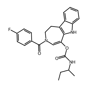 CCC(C)NC(=O)OC1=CN(C(=O)c2ccc(F)cc2)CCc2c1[nH]c1ccccc21